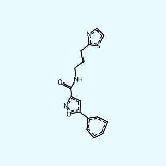 O=C(NCCCc1nccs1)c1cc(-c2ccccc2)on1